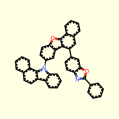 c1ccc(-c2nc3ccc(-c4cc5ccccc5c5oc6ccc(-n7c8ccccc8c8ccc9ccccc9c87)cc6c45)cc3o2)cc1